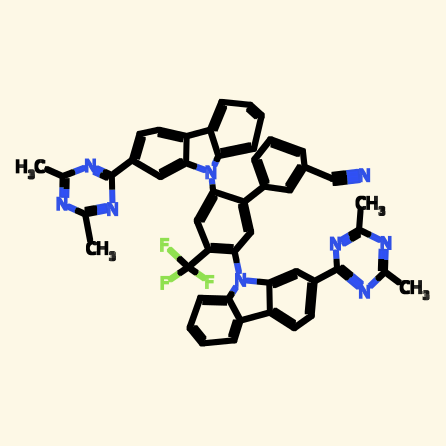 Cc1nc(C)nc(-c2ccc3c4ccccc4n(-c4cc(C(F)(F)F)c(-n5c6ccccc6c6ccc(-c7nc(C)nc(C)n7)cc65)cc4-c4cccc(C#N)c4)c3c2)n1